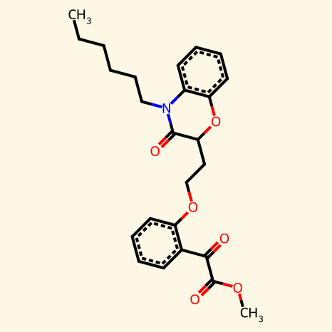 CCCCCCN1C(=O)C(CCOc2ccccc2C(=O)C(=O)OC)Oc2ccccc21